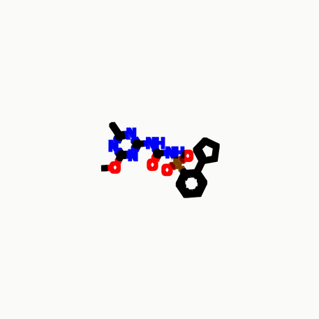 COc1nc(C)nc(NC(=O)NS(=O)(=O)c2ccccc2C2=CCCC2)n1